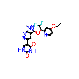 CCOc1ccnc([C@@H](Oc2nn(C)c3nnc(-c4c[nH]c(=O)[nH]c4=O)cc23)C(F)F)c1